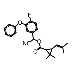 CC(C)=CC1C(C(=O)OC(C#N)c2ccc(F)c(Oc3ccccc3)c2)C1(C)C